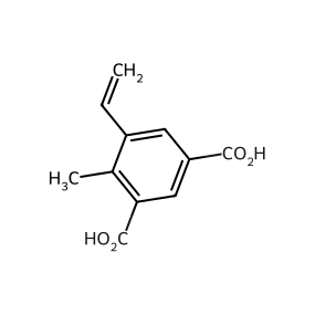 C=Cc1cc(C(=O)O)cc(C(=O)O)c1C